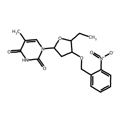 CCC1OC(n2cc(C)c(=O)[nH]c2=O)CC1OCc1ccccc1[N+](=O)[O-]